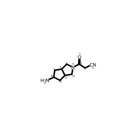 N#CCC(=O)N1CC2CC(N)CC2C1